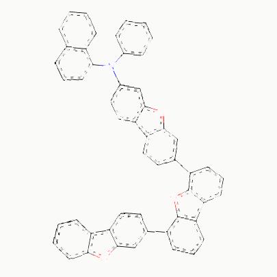 c1ccc(N(c2ccc3c(c2)oc2cc(-c4cccc5c4oc4c(-c6ccc7c(c6)oc6ccccc67)cccc45)ccc23)c2cccc3ccccc23)cc1